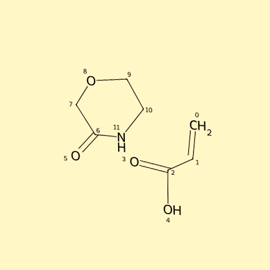 C=CC(=O)O.O=C1COCCN1